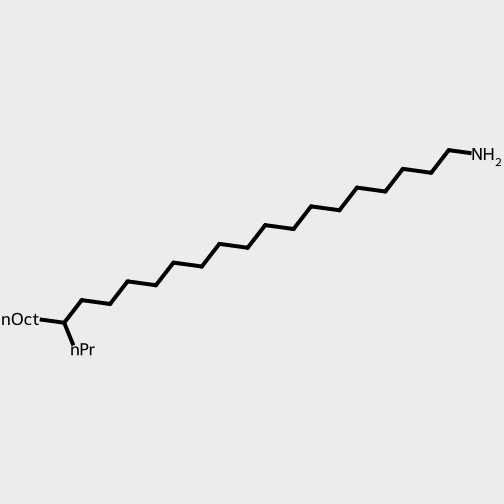 CCCCCCCCC(CCC)CCCCCCCCCCCCCCCCCN